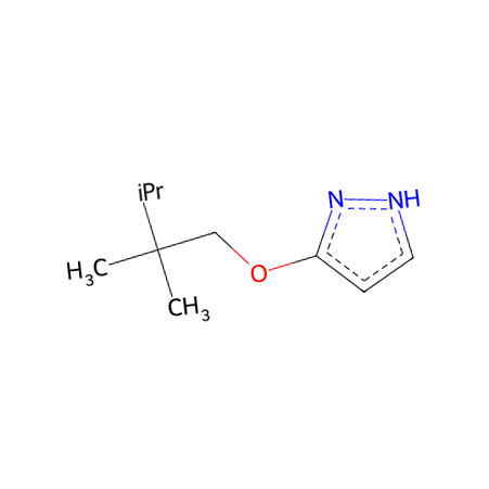 CC(C)C(C)(C)COc1cc[nH]n1